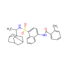 Cc1ccccc1C(=O)Nc1ccc(S(=O)(=O)NC(C)C23CC4CC(CC(C4)C2)C3)c2ccccc12